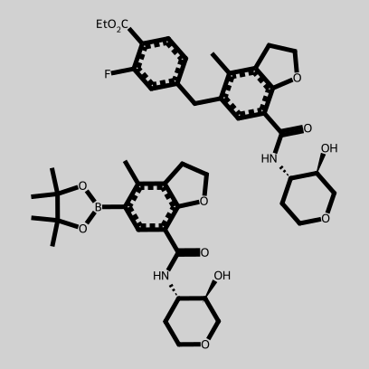 CCOC(=O)c1ccc(Cc2cc(C(=O)N[C@H]3CCOC[C@@H]3O)c3c(c2C)CCO3)cc1F.Cc1c(B2OC(C)(C)C(C)(C)O2)cc(C(=O)N[C@H]2CCOC[C@@H]2O)c2c1CCO2